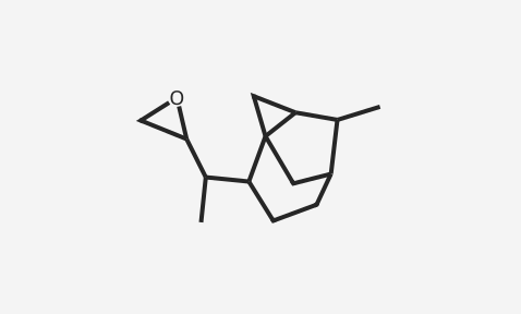 CC1C2CCC(C(C)C3CO3)C3(C2)CC13